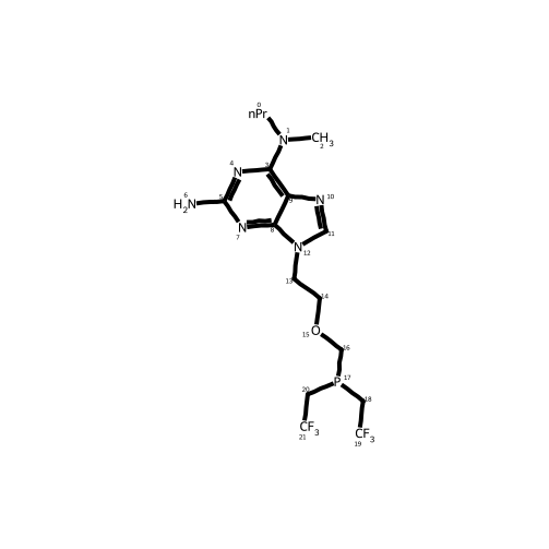 CCCN(C)c1nc(N)nc2c1ncn2CCOCP(CC(F)(F)F)CC(F)(F)F